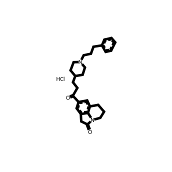 Cl.O=C(CCC1CCN(CCCc2ccccc2)CC1)c1cc2c3c(c1)CC(=O)N3CCC2